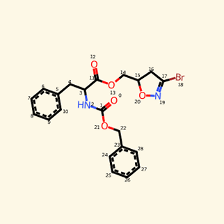 O=C(NC(Cc1ccccc1)C(=O)OCC1CC(Br)=NO1)OCc1ccccc1